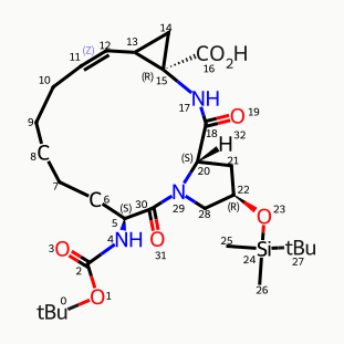 CC(C)(C)OC(=O)N[C@H]1CCCCC/C=C\C2C[C@@]2(C(=O)O)NC(=O)[C@@H]2C[C@@H](O[Si](C)(C)C(C)(C)C)CN2C1=O